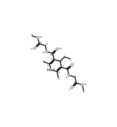 CCC1C(C(=O)OCC(=O)OC)=C(C)NC(C)=C1C(=O)OCC(=O)OC